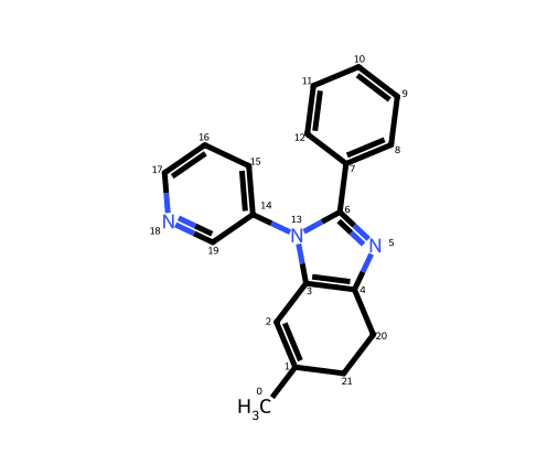 CC1=Cc2c(nc(-c3ccccc3)n2-c2cccnc2)CC1